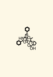 CC(O[PH](=O)[C@@H](CCc1ccccc1)NC(=O)c1ccccc1)C(=O)N1CCC[C@H]1C(=O)O